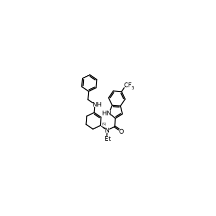 CCN(C(=O)c1cc2cc(C(F)(F)F)ccc2[nH]1)[C@@H]1C=C(NCc2ccccc2)CCC1